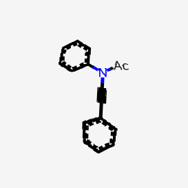 CC(=O)N(C#Cc1ccccc1)c1ccccc1